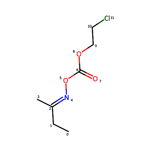 CCC(C)=NOC(=O)OCCCl